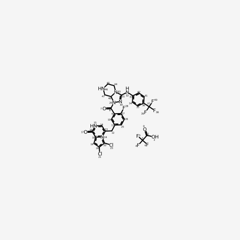 O=C(O)C(F)(F)F.O=C(c1cc(Cc2c[nH]c(=O)c3cc(Cl)c(Cl)n23)ccc1F)N1N=C(Nc2ccc(C(F)(F)F)cc2)N2CCNCC21